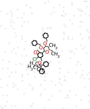 CC[C@H]1OC(c2cc(CO[Si](c3ccccc3)(c3ccccc3)C(C)(C)C)c(Cl)c3c2CO3)[C@H](OCc2ccccc2)[C@@H](OCc2ccccc2)[C@@H]1C